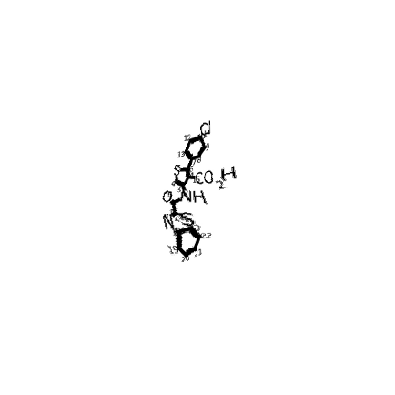 O=C(Nc1csc(-c2ccc(Cl)cc2)c1C(=O)O)c1nc2ccccc2s1